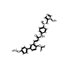 CCCOc1ccc(-c2ccc(OC(F)F)c(/C=C/C(=O)Nc3ccc([S@@+]([O-])Cc4cncn4CCC)cc3)c2)cc1